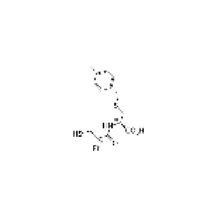 CC[C@H](CS)C(=O)N[C@@H](CSCc1ccc(C)cc1)C(=O)O